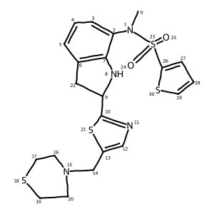 CN(c1cccc2c1NC(c1ncc(CN3CCSCC3)s1)C2)S(=O)(=O)c1cccs1